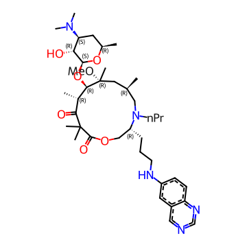 CCCN1C[C@H](C)C[C@@](C)(OC)[C@H](O[C@@H]2O[C@H](C)C[C@H](N(C)C)[C@H]2O)[C@@H](C)C(=O)C(C)(C)C(=O)OC[C@H]1CCCNc1ccc2ncncc2c1